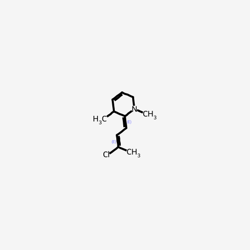 C/C(Cl)=C\C=C1/C(C)C=CCN1C